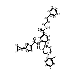 Cc1ccccc1N1CCN(c2ccc(C(=O)NCCCc3ccccc3)cc2NC(=O)c2coc(C3CC3)n2)CC1